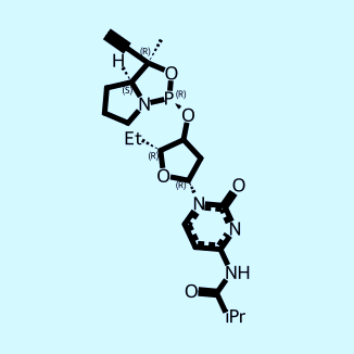 C#C[C@@]1(C)O[P@](OC2C[C@H](n3ccc(NC(=O)C(C)C)nc3=O)O[C@@H]2CC)N2CCC[C@H]21